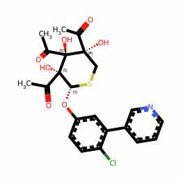 CC(=O)[C@]1(O)[C@@](O)(C(C)=O)CS[C@H](Oc2ccc(Cl)c(-c3cccnc3)c2)[C@@]1(O)C(C)=O